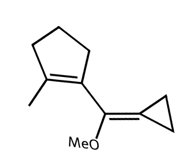 COC(=C1CC1)C1=C(C)CCC1